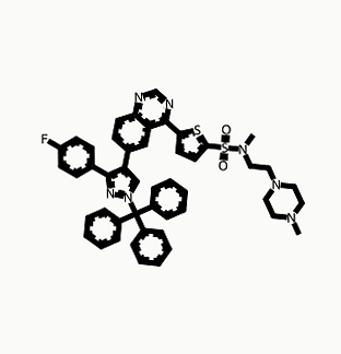 CN1CCN(CCN(C)S(=O)(=O)c2ccc(-c3ncnc4ccc(-c5cn(C(c6ccccc6)(c6ccccc6)c6ccccc6)nc5-c5ccc(F)cc5)cc34)s2)CC1